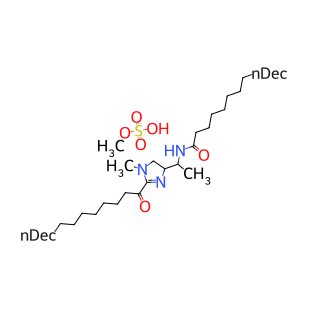 CCCCCCCCCCCCCCCCCC(=O)NC(C)C1CN(C)C(C(=O)CCCCCCCCCCCCCCCCC)=N1.COS(=O)(=O)O